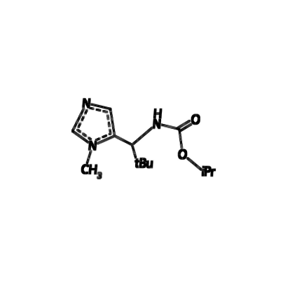 CC(C)OC(=O)NC(c1cncn1C)C(C)(C)C